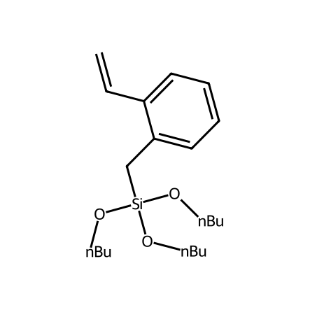 C=Cc1ccccc1C[Si](OCCCC)(OCCCC)OCCCC